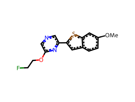 COc1ccc2cc(-c3cncc(OCCF)n3)sc2c1